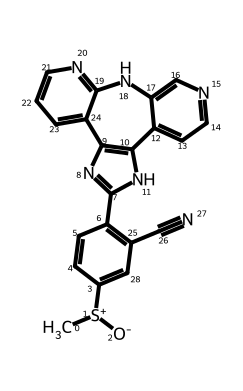 C[S+]([O-])c1ccc(-c2nc3c([nH]2)-c2ccncc2Nc2ncccc2-3)c(C#N)c1